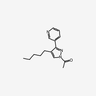 CCCCCc1cn(C(C)=O)nc1-c1cccnc1